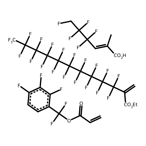 C=C(C(=O)OCC)C(F)(F)C(F)(F)C(F)(F)C(F)(F)C(F)(F)C(F)(F)C(F)(F)C(F)(F)C(F)(F)C(F)(F)F.C=CC(=O)OC(F)(F)c1ccc(F)c(F)c1F.CC(=CC(F)(F)C(F)(F)CF)C(=O)O